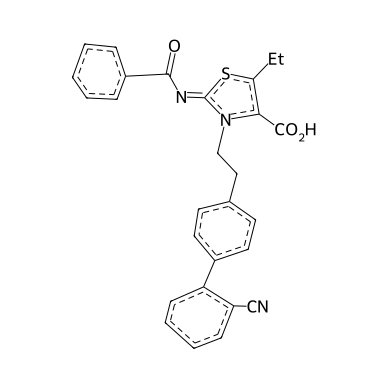 CCc1sc(=NC(=O)c2ccccc2)n(CCc2ccc(-c3ccccc3C#N)cc2)c1C(=O)O